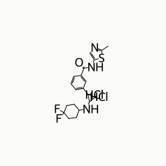 Cc1ncc(NC(=O)c2cccc(C3CC3NC3CCC(F)(F)CC3)c2)s1.Cl.Cl